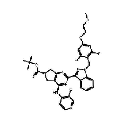 COCCOc1cc(F)c(Cn2nc(-c3nc4c(c(Nc5ccncc5Cl)n3)CN(C(=O)OC(C)(C)C)C4)c3ccccc32)c(F)c1